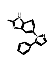 Cc1nc2cc(-n3nccc3-c3ccccc3)ccc2[nH]1